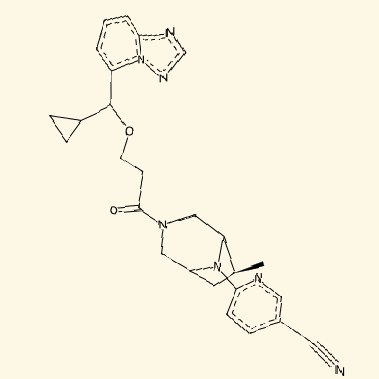 C[C@H]1CC2CN(C(=O)CCOC(c3cccc4ncnn34)C3CC3)CC1N2c1ccc(C#N)cn1